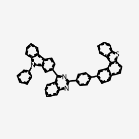 c1ccc(-n2c3ccccc3c3ccc(-c4nc(-c5ccc(-c6ccc7ccc8sc9ccccc9c8c7c6)cc5)nc5ccccc45)cc32)cc1